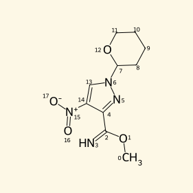 COC(=N)c1nn(C2CCCCO2)cc1[N+](=O)[O-]